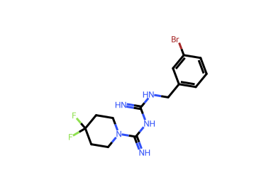 N=C(NCc1cccc(Br)c1)NC(=N)N1CCC(F)(F)CC1